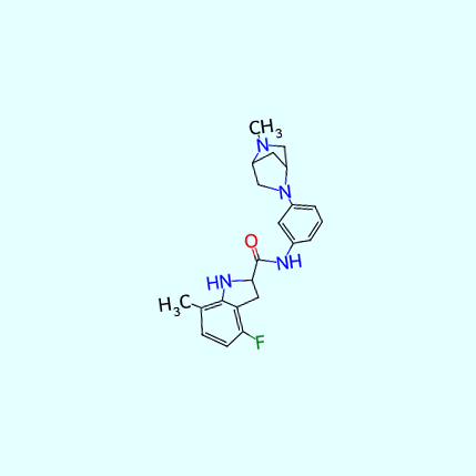 Cc1ccc(F)c2c1NC(C(=O)Nc1cccc(N3CC4CC3CN4C)c1)C2